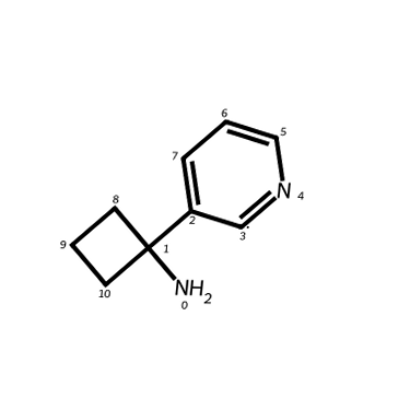 NC1(c2[c]nccc2)CCC1